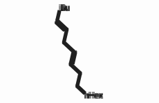 CCCCCCCC/C=[C]/CC=CC(C)CC